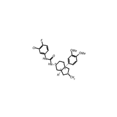 COc1ccc([C@@]23CC[C@@H](NC(=O)Nc4ccc(F)c(Cl)c4)C[C@@H]2CN(C)C3)cc1OC